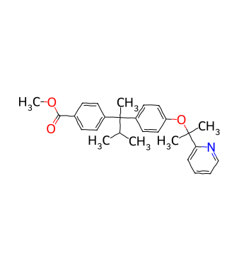 COC(=O)c1ccc(C(C)(c2ccc(OC(C)(C)c3ccccn3)cc2)C(C)C)cc1